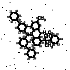 Cc1cc2c3c(c1)-c1cc(-c4ccccc4)ccc1N(c1cccc(-c4ccccc4)c1)B3c1cccc(C(C)(C)c3ccccc3C)c1C2